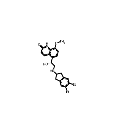 CCc1cc2c(cc1CC)CC(NC[C@H](O)c1ccc(OP)c3[nH]c(=O)ccc13)C2